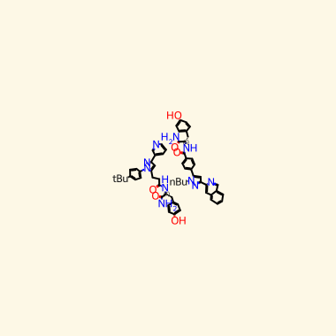 CC(C)(C)c1ccc(-n2nc(-c3cccnc3)cc2CCC(=O)N[C@@H](Cc2ccc(O)cc2)C(N)=O)cc1.CCCCn1nc(-c2cc3ccccc3cn2)cc1-c1ccc(C(=O)N[C@@H](Cc2ccc(O)cc2)C(N)=O)cc1